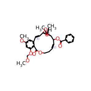 COCOc1cc(OC)cc2c1C(=O)OCC/C=C\C(OC(=O)c1ccccc1)C1OC(C)(C)C3(/C=C/2)O[C@H]13